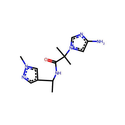 CC(NC(=O)C(C)(C)n1cnc(N)c1)c1cnn(C)c1